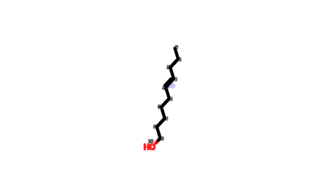 CCC/C=[C]/CCCCCO